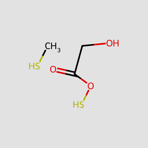 CS.O=C(CO)OS